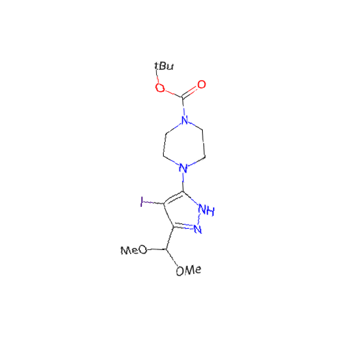 COC(OC)c1n[nH]c(N2CCN(C(=O)OC(C)(C)C)CC2)c1I